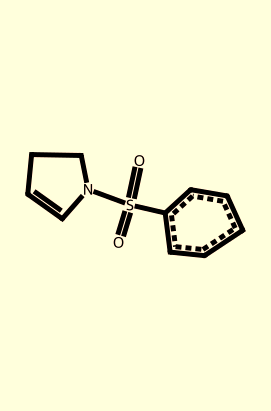 O=S(=O)(c1ccccc1)N1C=CCC1